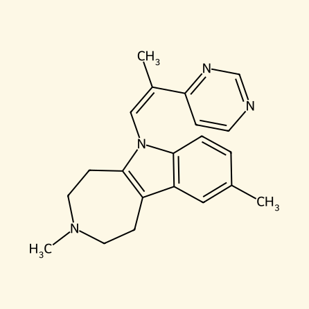 C/C(=C/n1c2c(c3cc(C)ccc31)CCN(C)CC2)c1ccncn1